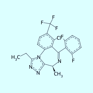 CCc1nnc2n1-c1ccc(C(F)(F)F)c(Cl)c1C(c1c(F)cccc1F)=N[C@H]2C